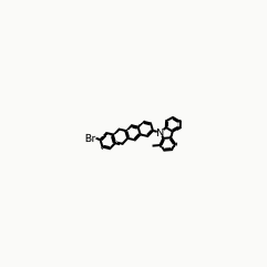 Cc1cccc2c3ccccc3n(-c3ccc4cc5c(cc4c3)Cc3ccc(Br)cc3C5)c12